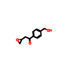 O=C(CC1CO1)c1ccc(CO)cc1